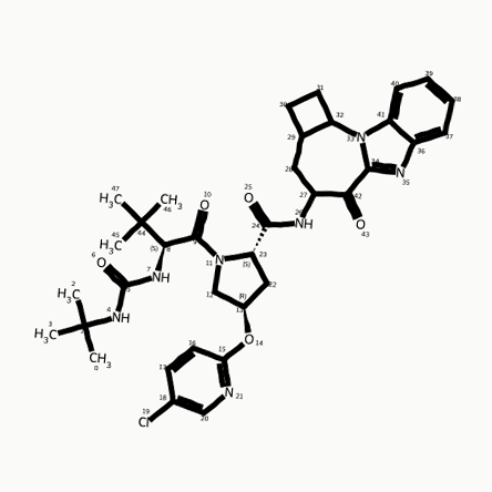 CC(C)(C)NC(=O)N[C@H](C(=O)N1C[C@H](Oc2ccc(Cl)cn2)C[C@H]1C(=O)NC1CC2CCC2n2c(nc3ccccc32)C1=O)C(C)(C)C